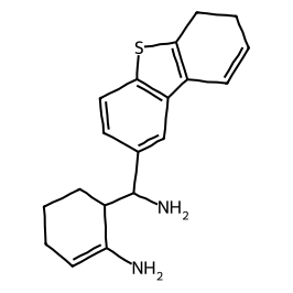 NC1=CCCCC1C(N)c1ccc2sc3c(c2c1)C=CCC3